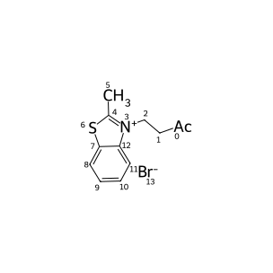 CC(=O)CC[n+]1c(C)sc2ccccc21.[Br-]